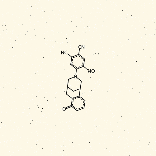 N#Cc1cc(N=O)c(N2CC3CC(C2)c2cccc(=O)n2C3)cc1C#N